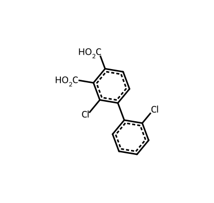 O=C(O)c1ccc(-c2ccccc2Cl)c(Cl)c1C(=O)O